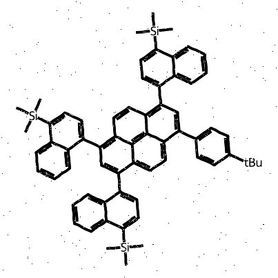 CC(C)(C)c1ccc(-c2cc(-c3ccc([Si](C)(C)C)c4ccccc34)c3ccc4c(-c5ccc([Si](C)(C)C)c6ccccc56)cc(-c5ccc([Si](C)(C)C)c6ccccc56)c5ccc2c3c54)cc1